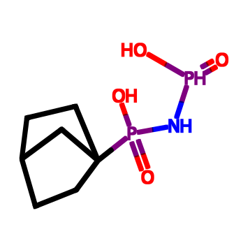 O=[PH](O)NP(=O)(O)C12CCC(CC1)C2